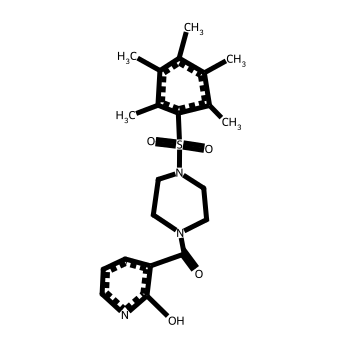 Cc1c(C)c(C)c(S(=O)(=O)N2CCN(C(=O)c3cccnc3O)CC2)c(C)c1C